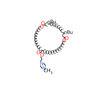 CCCCC1CCCCCCC(CCCC)CC(=O)OCCCCCCCCCCC(C(=O)OCCCN2CCN(C)CC2)CCCCCCCCCCOC(=O)C1